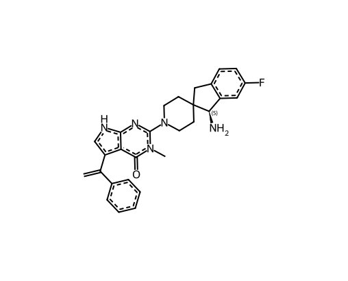 C=C(c1ccccc1)c1c[nH]c2nc(N3CCC4(CC3)Cc3ccc(F)cc3[C@H]4N)n(C)c(=O)c12